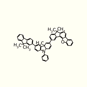 CC1(C)c2ccccc2-c2ccc(-c3ccc4c(c3)C3(C)C=C(c5ccc6c(c5)-c5c(ccc7c5oc5ccccc57)C6(C)C)C=CC3N4c3ccccc3)cc21